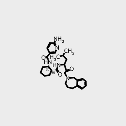 CC(C)CC(NC(=O)[C@@H]1CCCC[C@@H]1NC(=O)c1ccc(N)nc1)C(=O)CN1CCCc2ccccc2C1